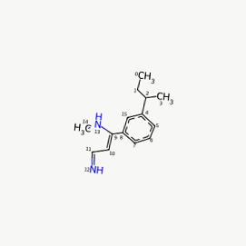 CCC(C)c1cccc(/C(=C/C=N)NC)c1